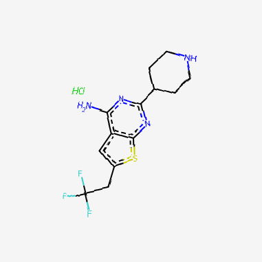 Cl.Nc1nc(C2CCNCC2)nc2sc(CC(F)(F)F)cc12